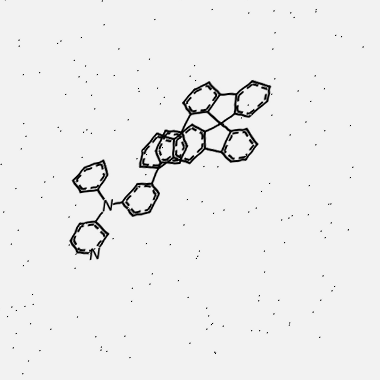 c1ccc(N(c2cccnc2)c2cccc(-c3ccc(-c4cccc5c4C4(c6ccccc6-c6cc7ccccc7cc64)c4ccccc4-5)cc3)c2)cc1